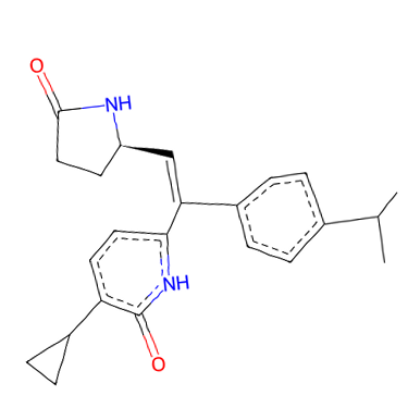 CC(C)c1ccc(C(=C[C@H]2CCC(=O)N2)c2ccc(C3CC3)c(=O)[nH]2)cc1